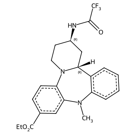 CCOC(=O)c1ccc2c(c1)N(C)c1ccccc1[C@H]1C[C@H](NC(=O)C(F)(F)F)CCN21